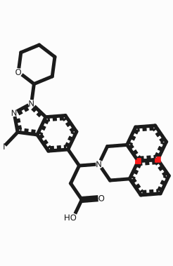 O=C(O)CC(c1ccc2c(c1)c(I)nn2C1CCCCO1)N(Cc1ccccc1)Cc1ccccc1